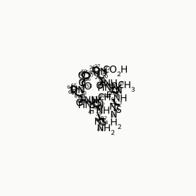 Cc1nc(NCc2csc(N)n2)c(F)c(NNC(=O)[C@@H](CNC(=O)O)CC2CCCC2)n1.Cc1nc(NCc2csc(N)n2)c(F)c(NNC(=O)[C@@H](CNC(=O)OC2CCCCO2)CC2CCCC2)n1